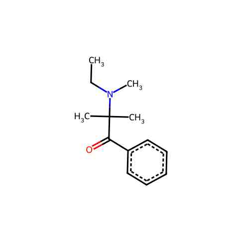 CCN(C)C(C)(C)C(=O)c1ccccc1